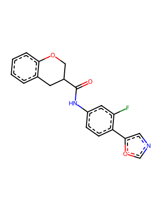 O=C(Nc1ccc(-c2cnco2)c(F)c1)C1COc2ccccc2C1